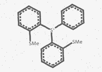 CSc1ccccc1[S+](c1ccccc1)c1ccccc1SC